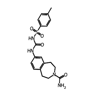 Cc1ccc(S(=O)(=O)NC(=O)Nc2ccc3c(c2)CCN(C(N)=O)CC3)cc1